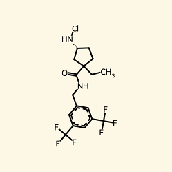 CCC1(C(=O)NCc2cc(C(F)(F)F)cc(C(F)(F)F)c2)CC[C@@H](NCl)C1